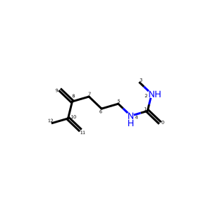 C=C(NC)NCCCC(=C)C(=C)C